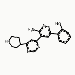 Nc1nnc(-c2ccccc2O)cc1-c1cc(C2CCNCC2)ncn1